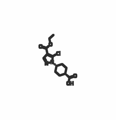 CCOC(=O)c1cnn([C@H]2CC[C@H](C(=O)O)CC2)c1Cl